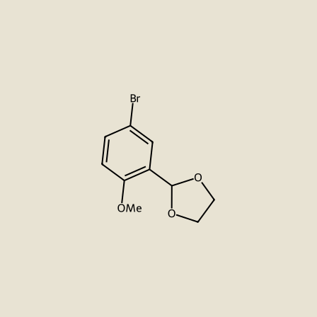 COc1ccc(Br)cc1C1OCCO1